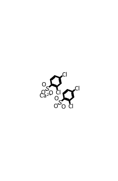 O=S(=O)([O-])c1ccc(Cl)cc1Cl.O=S(=O)([O-])c1ccc(Cl)cc1Cl.[Ca+2]